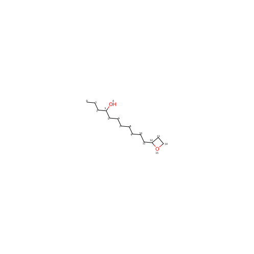 CCCC(O)CCCCCCCC1CCO1